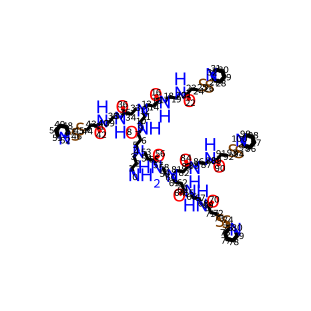 NCCCN(CCC(=O)NCCN(CCC(=O)NCCNC(=O)CCSSc1ccccn1)CCC(=O)NCCNC(=O)CCSSc1ccccn1)CCC(=O)NCCN(CCC(=O)NCCNC(=O)CCSSc1ccccn1)CCC(=O)NCCNC(=O)CCSSc1ccccn1